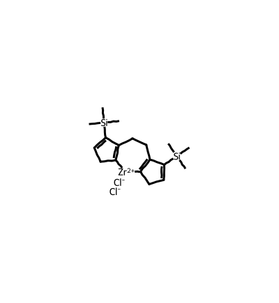 C[Si](C)(C)C1=CC[C]2=C1CCC1=[C](CC=C1[Si](C)(C)C)[Zr+2]2.[Cl-].[Cl-]